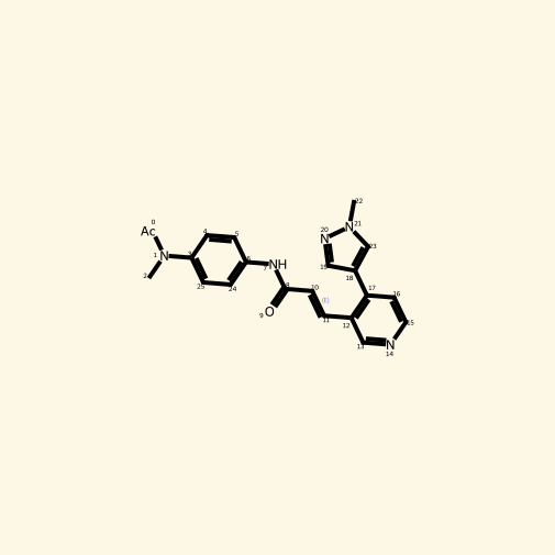 CC(=O)N(C)c1ccc(NC(=O)/C=C/c2cnccc2-c2cnn(C)c2)cc1